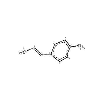 [CH]C=Cc1ccc(C)cc1